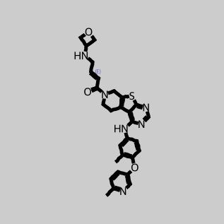 Cc1ccc(Oc2ccc(Nc3ncnc4sc5c(c34)CCN(C(=O)/C=C/CNC3COC3)C5)cc2C)cn1